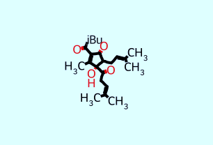 CCC(C)C(=O)C1=C(C)C(O)(C(=O)CC=C(C)C)C(CC=C(C)C)C1=O